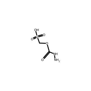 NNC(=O)OCS(=O)(=O)O